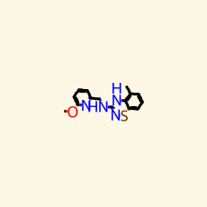 COc1cccc(CNC2=NSc3cccc(C)c3N2)n1